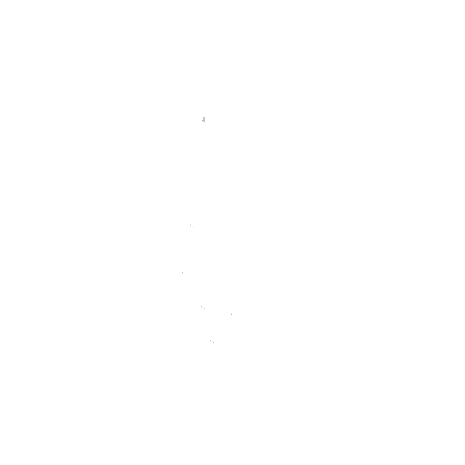 Cc1c(Cl)cccc1-c1cc(NC2CN(c3[c]cc(S(N)(=O)=O)cc3)C2)nc(N)n1